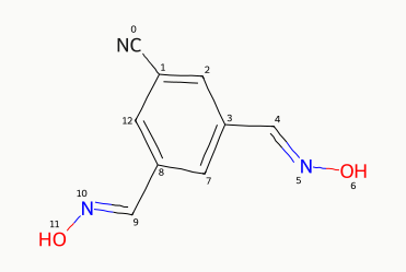 N#Cc1cc(C=NO)cc(C=NO)c1